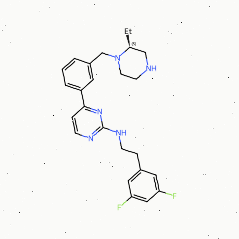 CC[C@H]1CNCCN1Cc1cccc(-c2ccnc(NCCc3cc(F)cc(F)c3)n2)c1